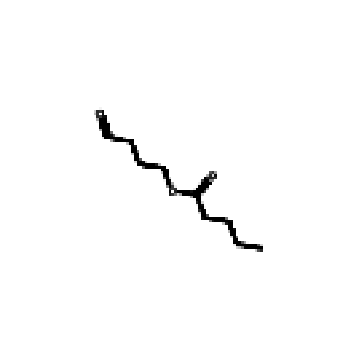 CCCCC(=O)OCCCC=O